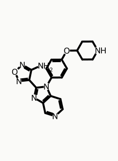 Nc1nonc1-c1nc2cnccc2n1-c1ccc(OC2CCNCC2)cc1